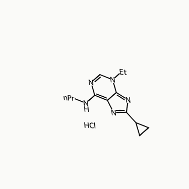 CCCNc1ncn(CC)c2nc(C3CC3)nc1-2.Cl